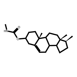 CNC(=O)OC1CC[C@@]2(C)C(=CCC3C2CC[C@@]2(C)C3CC[C@@H]2C)C1